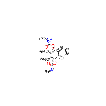 CCCNC(=O)Oc1c(OC)c(OC)c(OC(=O)NCCC)c2ccccc12